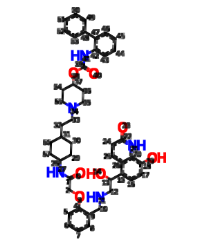 O=C(COc1ccccc1CNCC(O)c1ccc(O)c2[nH]c(=O)ccc12)NC1CCC(CCN2CCC(OC(=O)Nc3ccccc3-c3ccccc3)CC2)CC1